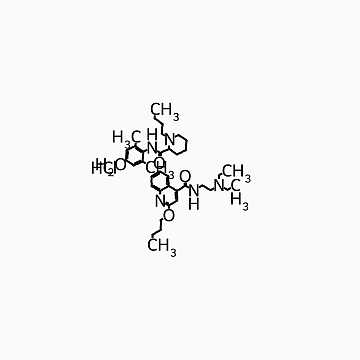 CCCCN1CCCCC1C(=O)Nc1c(C)cccc1C.CCCCOc1cc(C(=O)NCCN(CC)CC)c2ccccc2n1.Cl.O